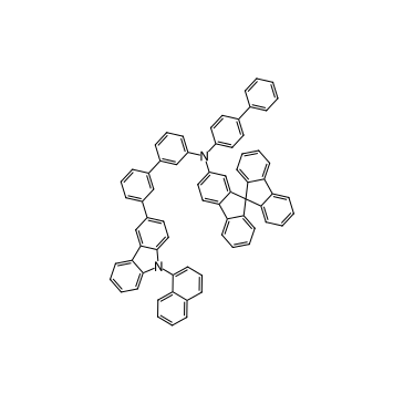 c1ccc(-c2ccc(N(c3cccc(-c4cccc(-c5ccc6c(c5)c5ccccc5n6-c5cccc6ccccc56)c4)c3)c3ccc4c(c3)C3(c5ccccc5-c5ccccc53)c3ccccc3-4)cc2)cc1